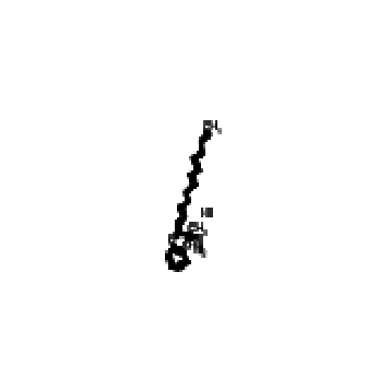 CCCCCCCCCCCCCC(Oc1ccccc1)C(C)(C)N.I